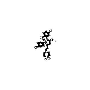 C[C@H](CCCCN1CCS(=O)(=O)CC1)N(c1cc(Cl)ccc1Cl)S(=O)(=O)c1ccc(Cl)cc1